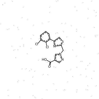 O=C(O)c1cnn(Cc2nc(-c3cccc(Cl)c3Cl)cs2)c1